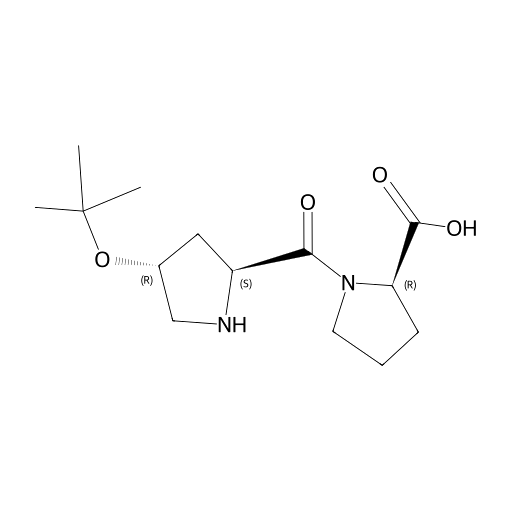 CC(C)(C)O[C@H]1CN[C@H](C(=O)N2CCC[C@@H]2C(=O)O)C1